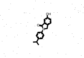 CC(C)c1ccc(N2Cc3ccc(O)cc3C2=O)cc1